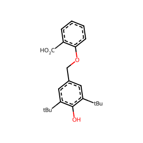 CC(C)(C)c1cc(COc2ccccc2C(=O)O)cc(C(C)(C)C)c1O